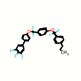 CCCc1ccc(C(F)(F)Oc2ccc(C(F)(F)Oc3ccc(-c4cc(F)c(F)c(F)c4)cc3)cc2)cc1